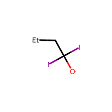 CCCC([O])(I)I